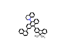 CC1(C)c2ccccc2-c2cc(-c3c4ccccc4c(N4CCCc5ccccc54)c4ccc(-c5cccc6ccccc56)cc34)ccc21